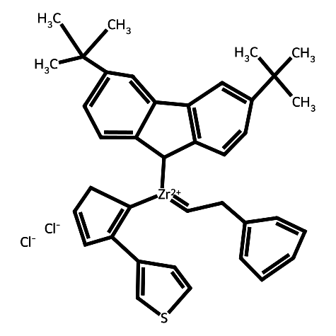 CC(C)(C)c1ccc2c(c1)-c1cc(C(C)(C)C)ccc1[CH]2/[Zr+2](=[CH]\Cc1ccccc1)[C]1=C(c2ccsc2)C=CC1.[Cl-].[Cl-]